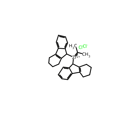 C[C](C)=[Zr+2]([CH]1C2=C(CCCC2)c2ccccc21)[CH]1C2=C(CCCC2)c2ccccc21.[Cl-].[Cl-]